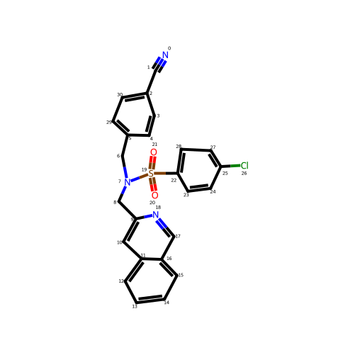 N#Cc1ccc(CN(Cc2cc3ccccc3cn2)S(=O)(=O)c2ccc(Cl)cc2)cc1